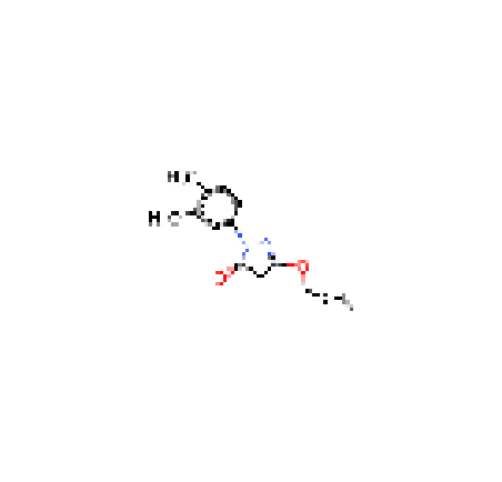 CCOC1=NN(c2ccc(C)c(C)c2)C(=O)C1